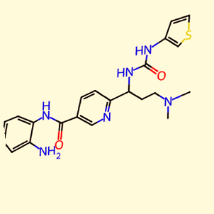 CN(C)CCC(NC(=O)Nc1ccsc1)c1ccc(C(=O)Nc2ccccc2N)cn1